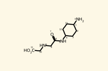 NC1CCC(NC(=O)CNCC(=O)O)CC1